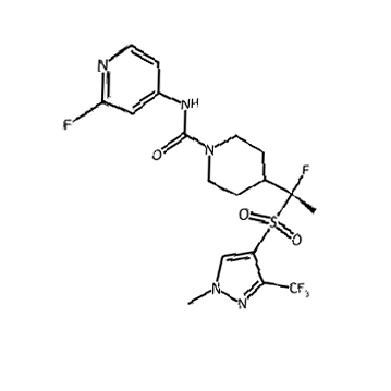 Cn1cc(S(=O)(=O)[C@@](C)(F)C2CCN(C(=O)Nc3ccnc(F)c3)CC2)c(C(F)(F)F)n1